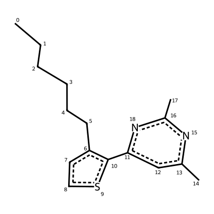 CCCCCCc1ccsc1-c1cc(C)nc(C)n1